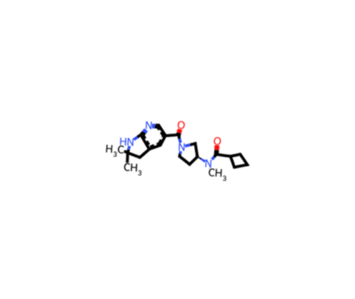 CN(C(=O)C1CCC1)[C@H]1CCN(C(=O)c2cnc3c(c2)CC(C)(C)N3)C1